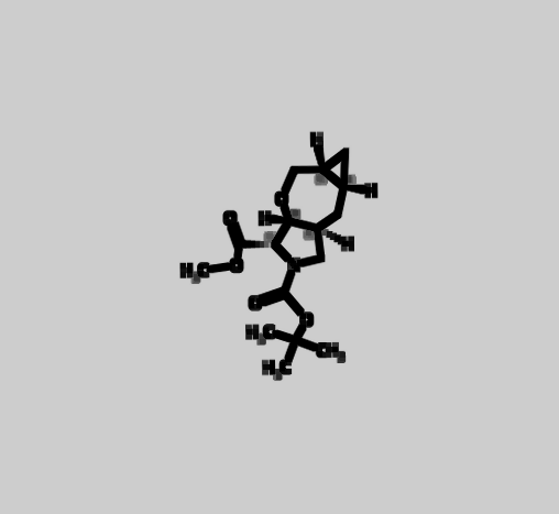 COC(=O)[C@@H]1[C@@H]2OC[C@@H]3C[C@@H]3C[C@H]2CN1C(=O)OC(C)(C)C